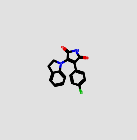 O=C1NC(=O)C(N2CCc3ccccc32)=C1c1ccc(Cl)cc1